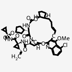 C=C[C@@H]1C[C@]1(NC(=O)[C@@H]1C[C@@H]2CN1C(=O)[C@H](C1CCCC1)NC(=O)O[C@@H]1CCC[C@H]1CC/C=C/Cc1c(nc3cccc(Cl)c3c1OC)O2)C(=O)NS(=O)(=O)C1CC1